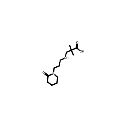 CC(C)(CNCCCN1CCCCC1=O)C(=O)O